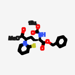 COC(=O)C(CC[C@H](NC(=O)OC(C)(C)C)C(=O)OCc1ccccc1)n1ccccc1=S